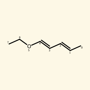 CC=CC=COCC